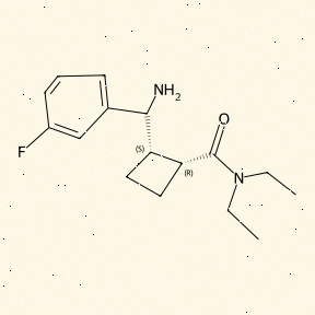 CCN(CC)C(=O)[C@@H]1CC[C@@H]1C(N)c1cccc(F)c1